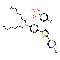 CCCCCCN(CCCCCC)c1ccc(-c2ccc(-c3cc[n+](C)cc3)s2)cc1.Cc1ccc(S(=O)(=O)[O-])cc1